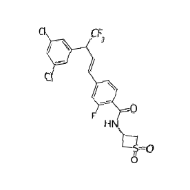 O=C(NC1CS(=O)(=O)C1)c1ccc(C=CC(c2cc(Cl)cc(Cl)c2)C(F)(F)F)cc1F